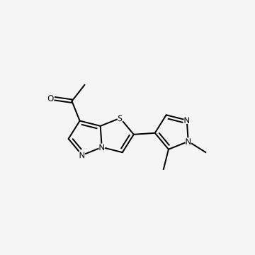 CC(=O)c1cnn2cc(-c3cnn(C)c3C)sc12